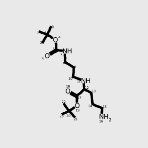 CC(C)(C)OC(=O)NCCCNC(CCCN)C(=O)OC(C)(C)C